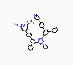 C=C/C=C(\C=C/N)c1ccc(-c2cc(-c3ccccc3)cc(-c3nc(-c4ccccc4)nc(-c4cc(-c5ccccc5)cc(-c5ccc(-c6ccncc6)cc5)c4)n3)c2)cc1